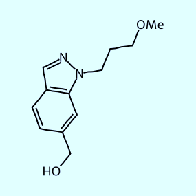 COCCCn1ncc2ccc(CO)cc21